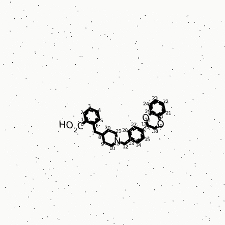 O=C(O)c1ccccc1CC1CCN(Cc2ccc([C@H]3COc4ccccc4O3)cc2)CC1